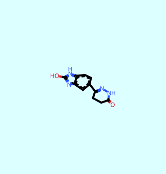 O=C1CCC(c2ccc3[nH]c(O)nc3c2)=NN1